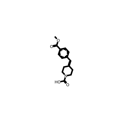 COC(=O)c1ccc(C=C2CCN(C(=O)O)CC2)cc1